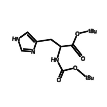 CC(C)(C)OC(=O)NC(Cc1c[nH]cn1)C(=O)OC(C)(C)C